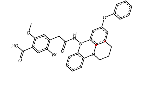 COc1cc(CC(=O)NN(c2cccc(Oc3ccccc3)c2)c2ccccc2N2CCCCC2)c(Br)cc1C(=O)O